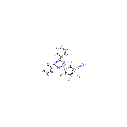 N#Cc1c(F)c(F)c(F)c(-c2nc(-c3ccccc3)nc(-c3ccccc3)n2)c1F